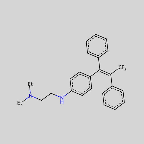 CCN(CC)CCNc1ccc(C(=C(c2ccccc2)C(F)(F)F)c2ccccc2)cc1